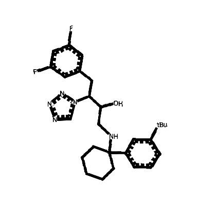 CC(C)(C)c1cccc(C2(NCC(O)C(Cc3cc(F)cc(F)c3)n3cnnn3)CCCCC2)c1